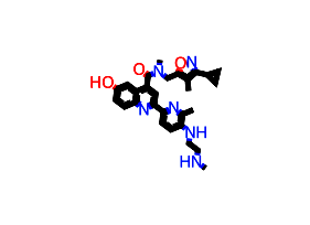 CNCCNc1ccc(-c2cc(C(=O)N(C)Cc3onc(C4CC4)c3C)c3cc(O)ccc3n2)nc1C